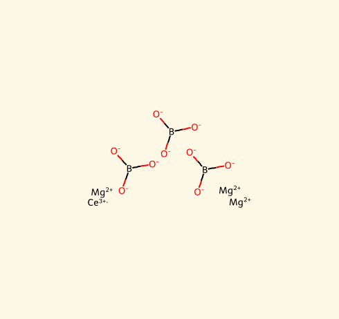 [Ce+3].[Mg+2].[Mg+2].[Mg+2].[O-]B([O-])[O-].[O-]B([O-])[O-].[O-]B([O-])[O-]